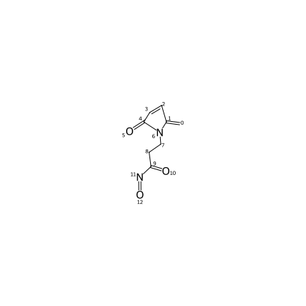 C=C1C=CC(=O)N1CCC(=O)N=O